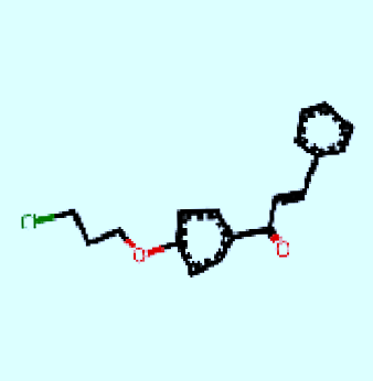 O=C(C=Cc1ccccc1)c1ccc(OCCCCl)cc1